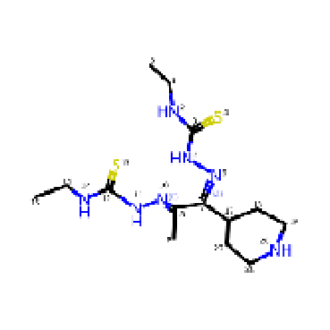 CCNC(=S)N/N=C(\C(C)=N\NC(=S)NCC)C1CCNCC1